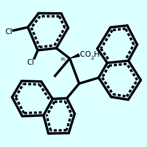 C[C@](C(=O)O)(c1cccc(Cl)c1Cl)C(c1cccc2ccccc12)c1cccc2ccccc12